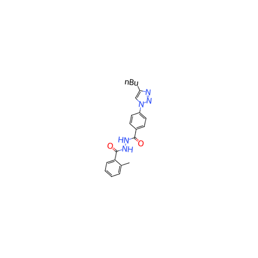 CCCCc1cn(-c2ccc(C(=O)NNC(=O)c3ccccc3C)cc2)nn1